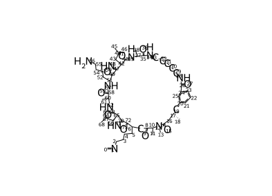 C=NCCCCC1CC(=O)C(C)N(C)C(=O)C[C@@H](C)Cc2cccc(c2)C(=O)NCCCCCNC(=O)[C@H](C)NC(=O)C(CC(C)C)C(=N)C(=O)C(CCCCN)NC(=O)C(C)NC(=O)[C@H](CC(C)C)C(=N)C1=O